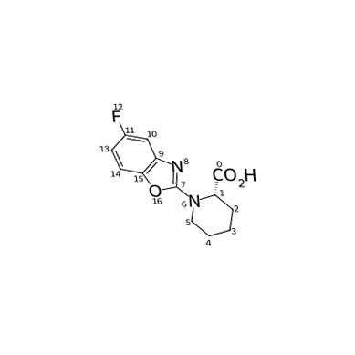 O=C(O)[C@@H]1CCCCN1c1nc2cc(F)ccc2o1